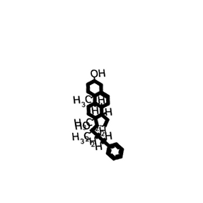 [2H]C([2H])(c1ccccc1)C([2H])([2H])[C@@](C)(O)[C@H]1CC[C@H]2[C@@H]3CC=C4C[C@@H](O)CC[C@]4(C)[C@H]3CC[C@@]21C